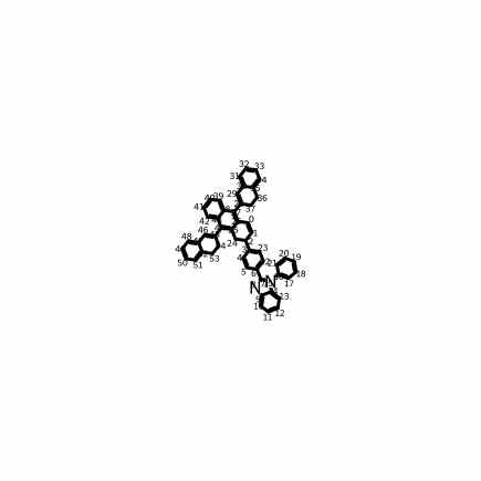 C1=CC(c2ccc(-c3nc4ccccc4n3-c3ccccc3)cc2)Cc2c1c(C1=Cc3ccccc3CC1)c1ccccc1c2C1=Cc2ccccc2CC1